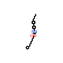 CCCCCc1ccc(-c2ccc(-c3ncc(OC(=O)CCCCCCCC4CCCC4)cn3)cc2)cc1